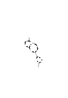 Cc1noc(-c2ccn3c(Br)cnc3n2)n1